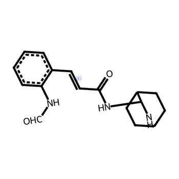 O=CNc1ccccc1/C=C/C(=O)NC1NC2CCC1CC2